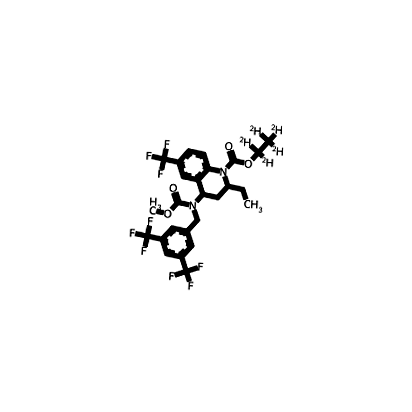 [2H]C([2H])([2H])C([2H])([2H])OC(=O)N1c2ccc(C(F)(F)F)cc2C(N(Cc2cc(C(F)(F)F)cc(C(F)(F)F)c2)C(=O)OC)CC1CC